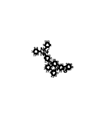 c1ccc(-c2nc(-c3ccccc3)nc(-c3ccc(-n4c5ccccc5c5c4ccc4c6cc7c(cc6n(-c6ccccc6)c45)oc4ccccc47)cc3)n2)cc1